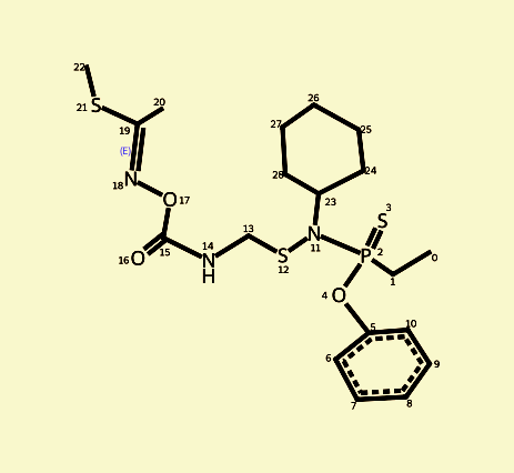 CCP(=S)(Oc1ccccc1)N(SCNC(=O)O/N=C(\C)SC)C1CCCCC1